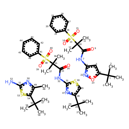 CC(C)(C)c1cc(NC(=O)C(C)(C)S(=O)(=O)c2ccccc2)no1.CC(C)(C)c1csc(NC(=O)C(C)(C)S(=O)(=O)c2ccccc2)n1.Cc1nc(N)sc1C(C)(C)C